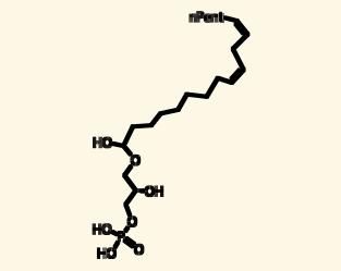 CCCCC/C=C\C/C=C\CCCCCCCC(O)OC[C@@H](O)COP(=O)(O)O